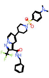 CN(C)c1ccc(S(=O)(=O)N2CCC(c3ccn4nc(C(F)(F)F)c(C(=O)NCc5ccccc5)c4c3)CC2)cc1